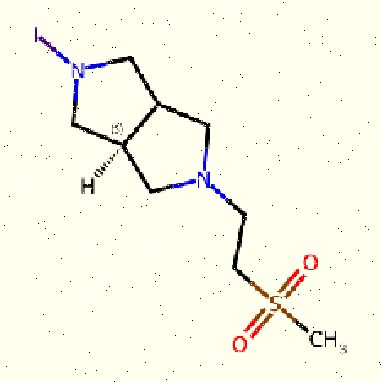 CS(=O)(=O)CCN1CC2CN(I)C[C@@H]2C1